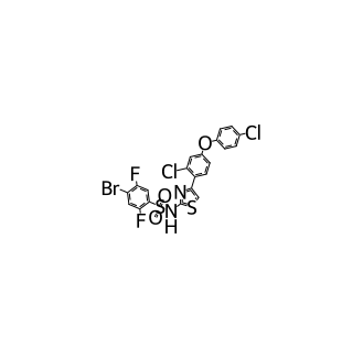 O=S(=O)(Nc1nc(-c2ccc(Oc3ccc(Cl)cc3)cc2Cl)cs1)c1cc(F)c(Br)cc1F